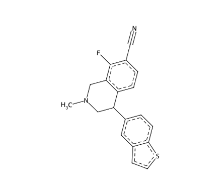 CN1Cc2c(ccc(C#N)c2F)C(c2ccc3sccc3c2)C1